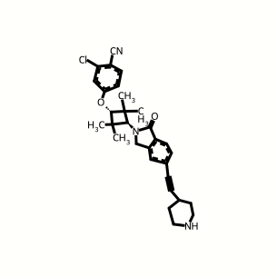 CC1(C)[C@H](Oc2ccc(C#N)c(Cl)c2)C(C)(C)[C@H]1N1Cc2cc(C#CC3CCNCC3)ccc2C1=O